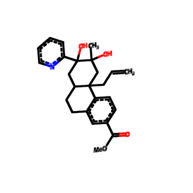 C=CCC12CC(C)(O)C(O)(c3ccccn3)CC1CCc1cc(C(=O)OC)ccc12